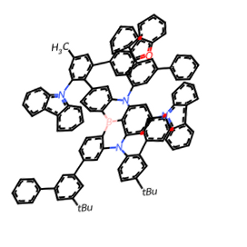 Cc1cc(-c2ccc3oc4ccccc4c3c2)c(-c2ccc3c(c2)N(c2cc(-c4ccccc4)cc(-c4ccccc4)c2)c2cc(-n4c5ccccc5c5ccccc54)cc4c2B3c2ccc(-c3cc(-c5ccccc5)cc(C(C)(C)C)c3)cc2N4c2ccc(C(C)(C)C)cc2-c2ccccc2)c(-n2c3ccccc3c3ccccc32)c1